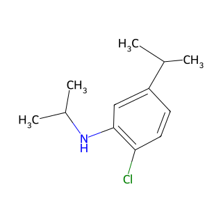 CC(C)Nc1cc(C(C)C)ccc1Cl